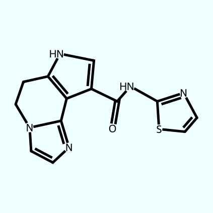 O=C(Nc1nccs1)c1c[nH]c2c1-c1nccn1CC2